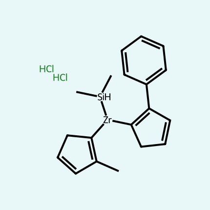 CC1=[C]([Zr]([C]2=C(c3ccccc3)C=CC2)[SiH](C)C)CC=C1.Cl.Cl